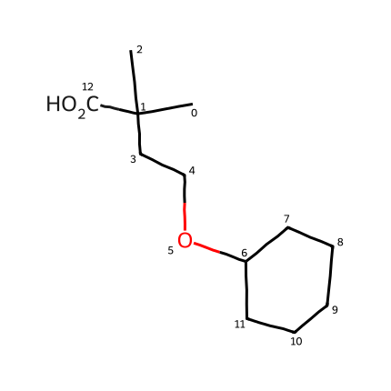 CC(C)(CCOC1CCCCC1)C(=O)O